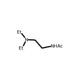 [CH2]C(=O)NCCN(CC)CC